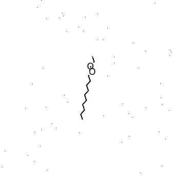 CCCCCCCCCCOOCC